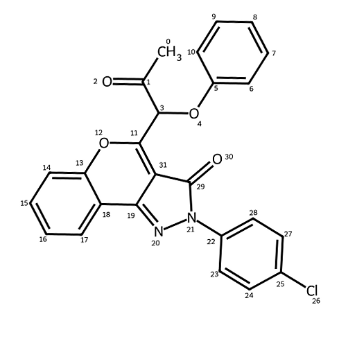 CC(=O)C(Oc1ccccc1)c1oc2ccccc2c2nn(-c3ccc(Cl)cc3)c(=O)c1-2